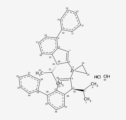 CC(C)[C@@H]1[C]([Zr]2([C]3=Cc4c(-c5ccccc5)cccc4[C@H]3C(C)C)[CH2][CH2]2)=Cc2c(-c3ccccc3)cccc21.Cl.Cl